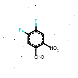 O=Cc1cc(F)c(F)cc1[N+](=O)[O-]